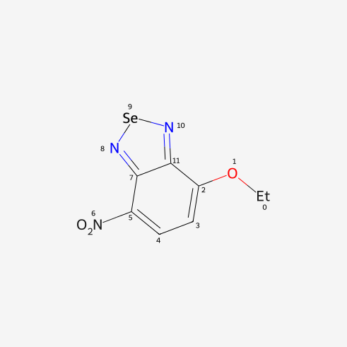 CCOc1ccc([N+](=O)[O-])c2n[se]nc12